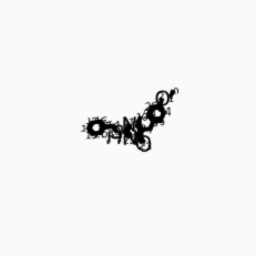 CCOc1ccc(Cc2c(C)nc(SCc3ccccc3)[nH]c2=O)cc1